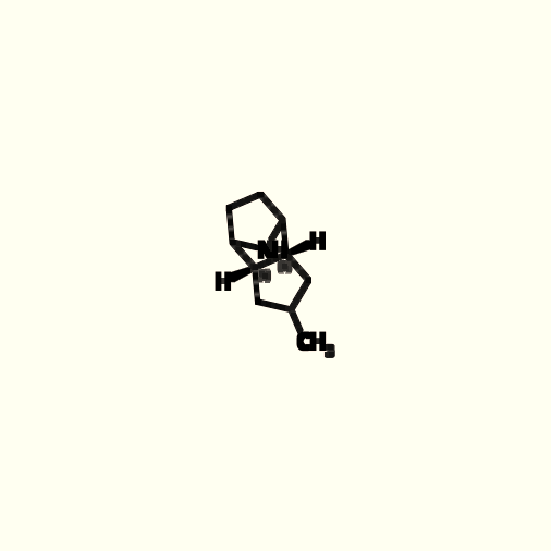 CC1C[C@@H]2C3CCC(N3)[C@@H]2C1